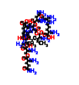 CC[C@H](C)[C@H](N)C(=O)OC(=O)[C@@H](N)[C@@H](C)OC(=O)[C@@H](N)CC(N)=O.C[C@H](N)C(=O)O.N=C(N)NCCC[C@H](N)C(=O)O.NC(=O)CC[C@H](N)C(=O)OC[C@H](N)C(=O)O.N[C@@H](Cc1c[nH]cn1)C(=O)O